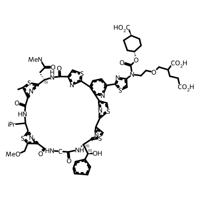 CNC(=O)C[C@@H]1NC(=O)c2csc(n2)-c2ccc(-c3nc(N(CCOCC(CCC(=O)O)C(=O)O)C(=O)O[C@H]4CC[C@H](C(=O)O)CC4)cs3)nc2-c2csc(n2)-c2csc(n2)[C@H]([C@@H](O)c2ccccc2)NC(=O)CNC(=O)c2nc(sc2COC)C(C(C)C)NC(=O)c2nc1sc2C